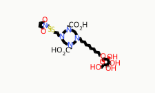 O=C(O)CN1CCCN(CCCSSCN2C(=O)C=CC2=O)CCN(CC(=O)O)CCCN(CCCCCCCCCCO[C@@H]2OC(CO)[C@@H](O)[C@H](O)C2O)CC1